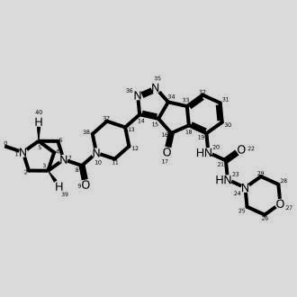 CN1C[C@@H]2C[C@H]1CN2C(=O)N1CCC(C2=C3C(=O)c4c(NC(=O)NN5CCOCC5)cccc4C3N=N2)CC1